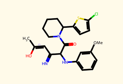 COc1cccc(NC(C(=N)/C=C(/C)O)C(=O)N2CCCCC2c2ccc(Cl)s2)c1